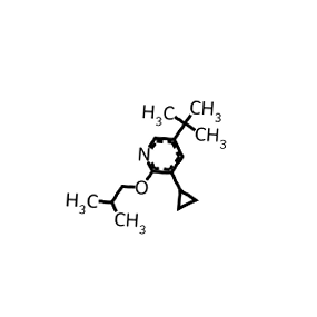 CC(C)COc1ncc(C(C)(C)C)cc1C1CC1